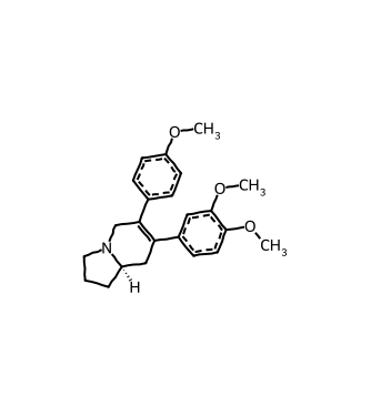 COc1ccc(C2=C(c3ccc(OC)c(OC)c3)C[C@H]3CCCN3C2)cc1